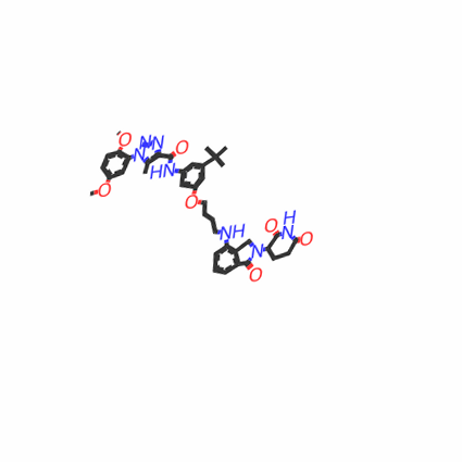 COc1ccc(OC)c(-n2nnc(C(=O)Nc3cc(OCCCCNc4cccc5c4CN(C4CCC(=O)NC4=O)C5=O)cc(C(C)(C)C)c3)c2C)c1